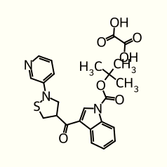 CC(C)(C)OC(=O)n1cc(C(=O)C2CSN(c3cccnc3)C2)c2ccccc21.O=C(O)C(=O)O